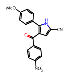 COc1ccc(-c2[nH]c(C#N)cc2C(=O)c2ccc([N+](=O)[O-])cc2)cc1